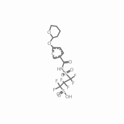 O=C(NS(=O)(=O)C(F)(F)C(F)(F)C(F)(F)S(=O)(=O)O)c1ccc(OC2CCCCO2)cc1